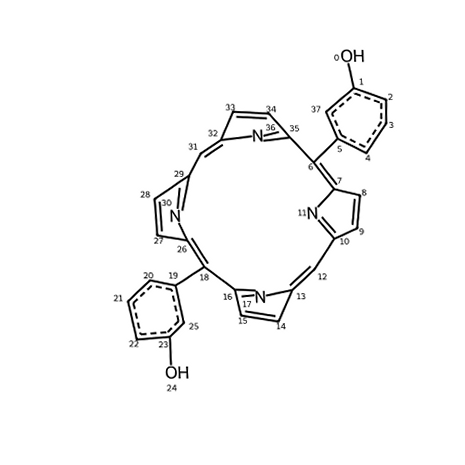 Oc1cccc(C2=C3C=CC(=N3)C=C3C=CC(=N3)C(c3cccc(O)c3)=C3C=CC(=N3)C=C3C=CC2=N3)c1